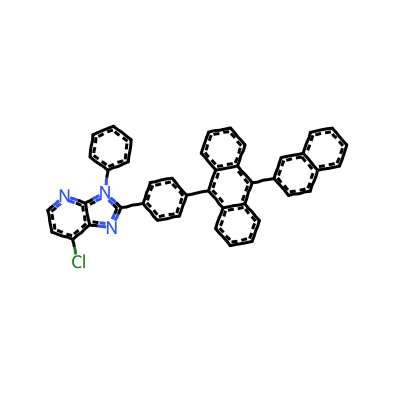 Clc1ccnc2c1nc(-c1ccc(-c3c4ccccc4c(-c4ccc5ccccc5c4)c4ccccc34)cc1)n2-c1ccccc1